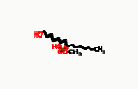 CCCCCCCCCCCCCCCO.COS(=O)(=O)O